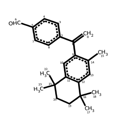 C=C(c1ccc(C=O)cc1)c1cc2c(cc1C)C(C)(C)CCC2(C)C